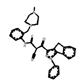 CN1CCN(Cc2ccccc2NC(=O)C(C#N)C(=O)c2nn(-c3ccccc3)c3c2Cc2ccccc2-3)CC1